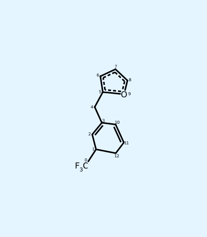 FC(F)(F)C1C=C(Cc2ccco2)C=CC1